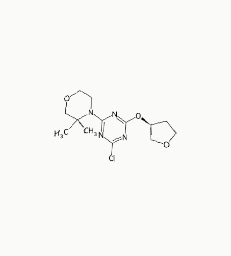 CC1(C)COCCN1c1nc(Cl)nc(O[C@H]2CCOC2)n1